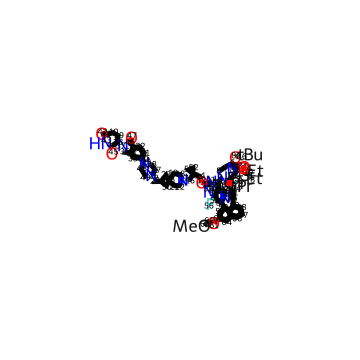 CC[Si](CC)(CC)OC1CC2CN(c3nc(OCC4(CN5CCC6(CC5)CC(CN5CCN(c7ccc8c(c7)CN([C@H]7CCC(=O)NC7=O)C8=O)CC5)C6)CC4)nc4c(F)c(-c5cc(OCOC)cc6cccc(C#C[Si](C(C)C)(C(C)C)C(C)C)c56)ncc34)CC1N2C(=O)OC(C)(C)C